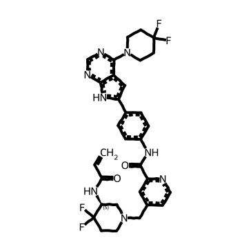 C=CC(=O)N[C@H]1CN(Cc2ccnc(C(=O)Nc3ccc(-c4cc5c(N6CCC(F)(F)CC6)ncnc5[nH]4)cc3)c2)CCC1(F)F